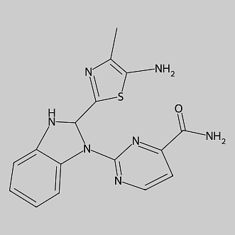 Cc1nc(C2Nc3ccccc3N2c2nccc(C(N)=O)n2)sc1N